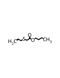 C=CCSCC(=O)OCCCC